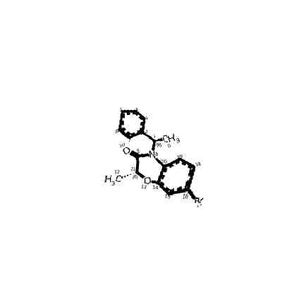 C[C@H](c1ccccc1)N1C(=O)[C@@H](C)Oc2cc(Br)ccc21